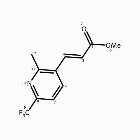 COC(=O)/C=C/c1ccc(C(F)(F)F)nc1C